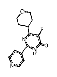 O=c1[nH]c(-c2ccncc2)nc(C2CCOCC2)c1F